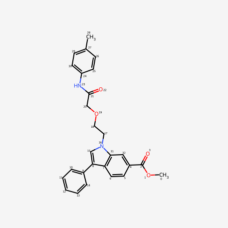 COC(=O)c1ccc2c(-c3ccccc3)cn(CCOCC(=O)Nc3ccc(C)cc3)c2c1